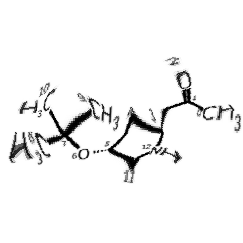 CC(=O)[C@@H]1C[C@@H](OC(C)(C)C)CN1